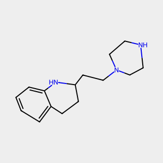 c1ccc2c(c1)CCC(CCN1CCNCC1)N2